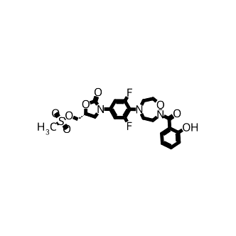 CS(=O)(=O)OC[C@H]1CN(c2cc(F)c(N3CCON(C(=O)c4ccccc4O)CC3)c(F)c2)C(=O)O1